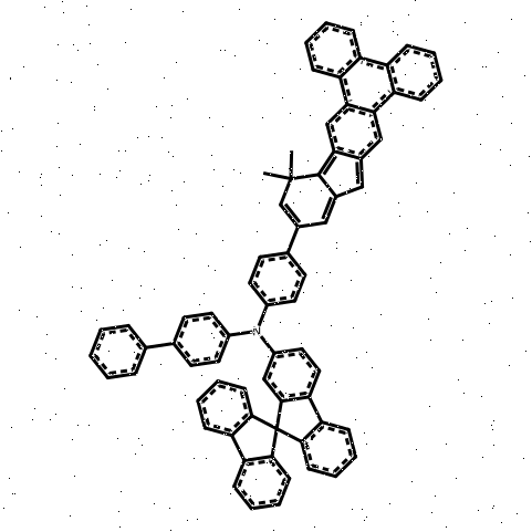 CC1(C)C=C(c2ccc(N(c3ccc(-c4ccccc4)cc3)c3ccc4c(c3)C3(c5ccccc5-c5ccccc53)c3ccccc3-4)cc2)C=C2C=c3cc4c5ccccc5c5ccccc5c4cc3=C21